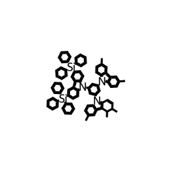 Cc1ccc2c(c1)c1c(n2-c2cc(-n3c4ccc(C)cc4c4cc(C)ccc43)cc(-n3c4ccc([Si](c5ccccc5)(c5ccccc5)c5ccccc5)cc4c4cc([Si](c5ccccc5)(c5ccccc5)c5ccccc5)ccc43)c2)C=CC(C)C1C